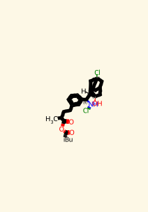 CCC(C)C(=O)OC(=O)C(C)CCc1cccc([C@H](NCl)[C@H]2C3CC4C[C@](Cl)(C3)C[C@@]2(O)C4)c1